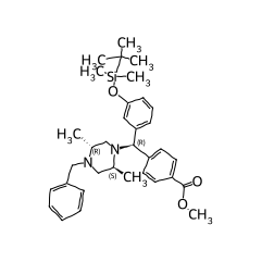 COC(=O)c1ccc([C@H](c2cccc(O[Si](C)(C)C(C)(C)C)c2)N2C[C@@H](C)N(Cc3ccccc3)C[C@@H]2C)cc1